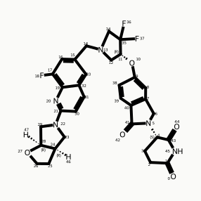 O=C1CC[C@H](N2Cc3cc(O[C@@H]4CN(Cc5cc(F)c6nc(N7C[C@H]8CCO[C@H]8C7)ccc6c5)CC4(F)F)ccc3C2=O)C(=O)N1